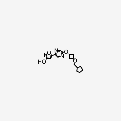 Oc1cc(-c2cnc(O[C@H]3C[C@@H](OCC4CCCC4)C3)cn2)on1